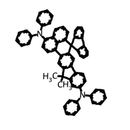 CC1(C)c2cc(N(c3ccccc3)c3ccccc3)ccc2-c2cc3c(cc21)-c1ccc(N(c2ccccc2)c2ccccc2)c2cccc(c12)C31c2ccccc2-c2ccccc21